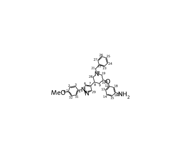 COc1ccc(-n2cc(C3CC(Oc4cccc(N)c4)CN(Cc4ccccc4)C3)cn2)cc1